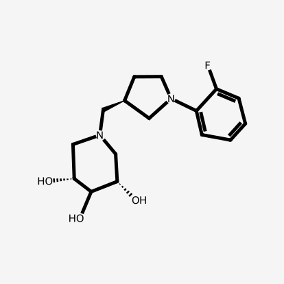 OC1[C@H](O)CN(C[C@H]2CCN(c3ccccc3F)C2)C[C@@H]1O